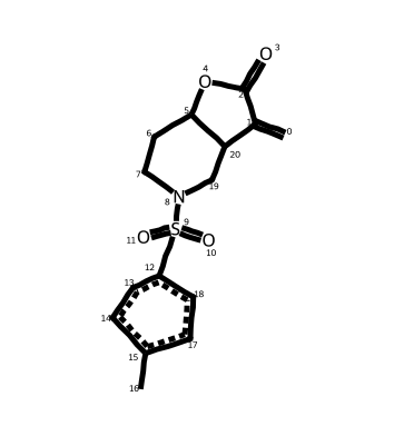 C=C1C(=O)OC2CCN(S(=O)(=O)c3ccc(C)cc3)CC12